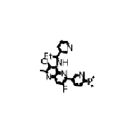 CCC(Nc1c(Cl)c(C)nc2cc(F)c(-c3ccc(P(C)C)nc3)nc12)c1cccnc1